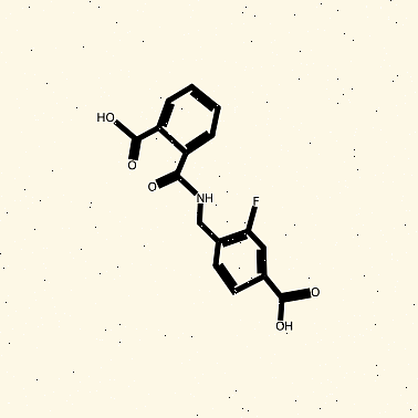 O=C(O)c1ccc(CNC(=O)c2ccccc2C(=O)O)c(F)c1